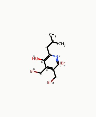 Br.CC(C)Cc1ncc(CBr)c(CBr)c1O